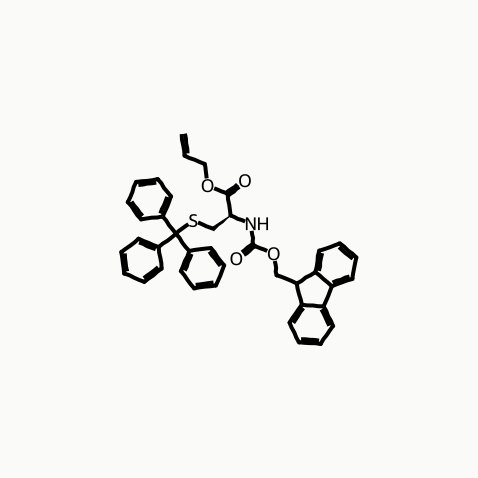 C=CCOC(=O)[C@H](CSC(c1ccccc1)(c1ccccc1)c1ccccc1)NC(=O)OCC1c2ccccc2-c2ccccc21